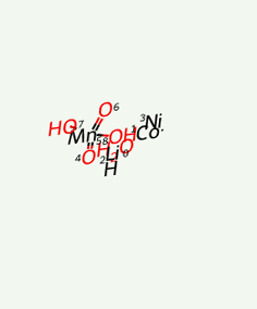 O.[Co].[LiH].[Ni].[O]=[Mn](=[O])([OH])[OH]